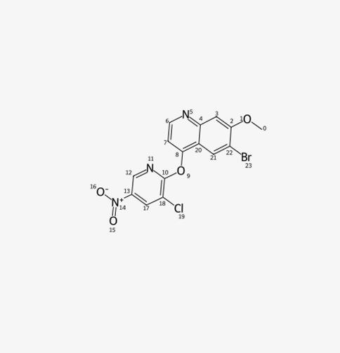 COc1cc2nccc(Oc3ncc([N+](=O)[O-])cc3Cl)c2cc1Br